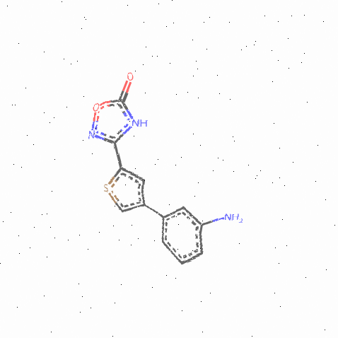 Nc1cccc(-c2csc(-c3noc(=O)[nH]3)c2)c1